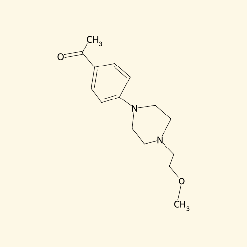 COCCN1CCN(c2ccc(C(C)=O)cc2)CC1